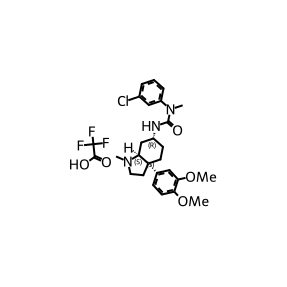 COc1ccc([C@@]23CC[C@@H](NC(=O)N(C)c4cccc(Cl)c4)C[C@@H]2N(C)CC3)cc1OC.O=C(O)C(F)(F)F